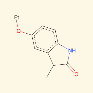 CCOc1ccc2c(c1)C(C)C(=O)N2